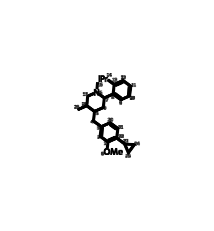 COc1cc(CC2CC(c3ccccc3C(C)C)N(C)CC2C)ccc1C1CC1